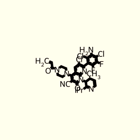 C=CC(=O)N1CCN(c2c(C#N)c(=O)n(C3C(C(C)C)=NC=C[C@H]3C)c3nc(-c4c(F)c(F)c(Cl)c(N)c4Cl)c(Cl)cc23)CC1